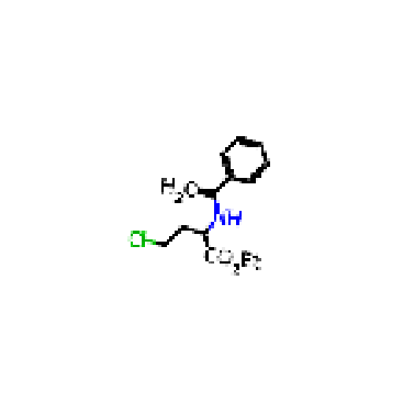 C=C(NC(CCCl)C(=O)OCC)c1ccccc1